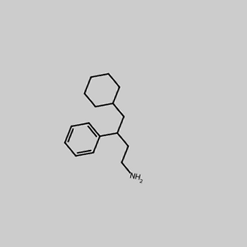 NCCC(CC1CCCCC1)c1ccccc1